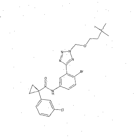 CS(C)(C)CCOCn1nnc(-c2cc(NC(=O)C3(c4cccc(Cl)c4)CC3)ccc2Br)n1